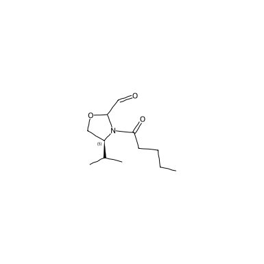 CCCCC(=O)N1C(C=O)OC[C@@H]1C(C)C